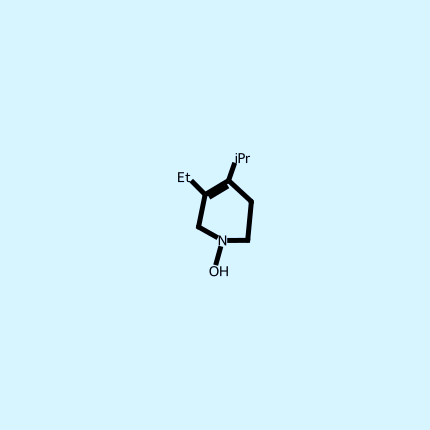 CCC1=C(C(C)C)CCN(O)C1